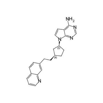 Nc1ncnc2c1ccn2[C@H]1CC[C@@H](CCc2ccc3cccnc3c2)C1